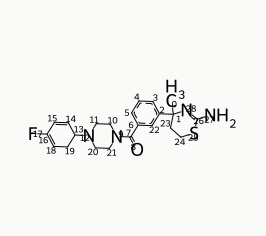 CC1(c2cccc(C(=O)N3CCN(C4C=CC(F)=CC4)CC3)c2)CCSC(N)=N1